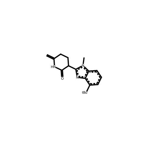 C=C1CCC(c2nc3c(C(C)(C)C)cccc3n2C)C(=O)N1